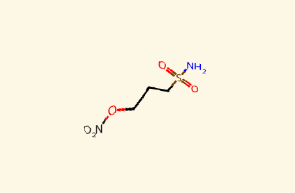 NS(=O)(=O)CCCO[N+](=O)[O-]